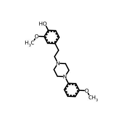 COc1cccc(N2CCN(CCc3ccc(O)c(OC)c3)CC2)c1